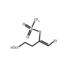 CCC=C(CCCCCCCCCC)OS(=O)(=O)C(F)(F)F